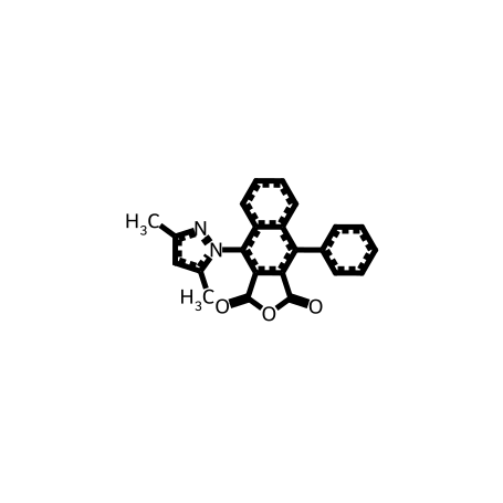 Cc1cc(C)n(-c2c3c(c(-c4ccccc4)c4ccccc24)C(=O)OC3=O)n1